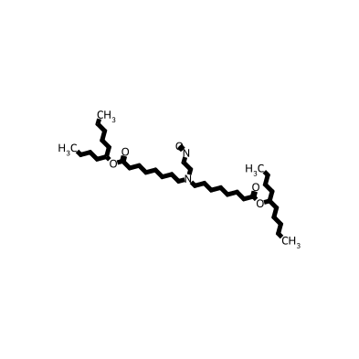 CCCCCC(CCCC)OC(=O)CCCCCCCN(CCCCCCCC(=O)OC(CCCC)CCCCC)CCN=O